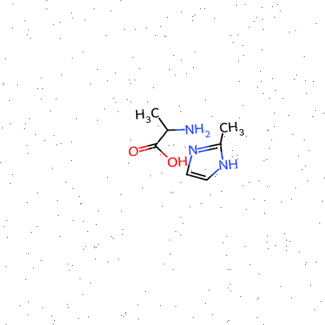 CC(N)C(=O)O.Cc1ncc[nH]1